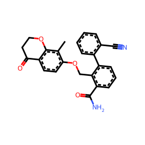 Cc1c(OCc2c(C(N)=O)cccc2-c2ccccc2C#N)ccc2c1OCCC2=O